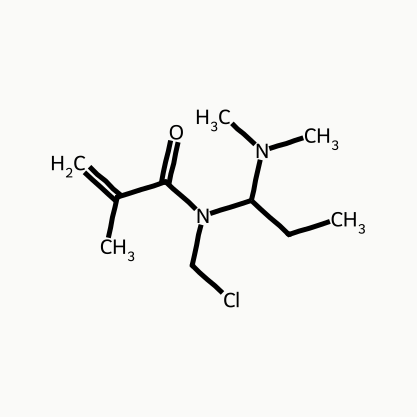 C=C(C)C(=O)N(CCl)C(CC)N(C)C